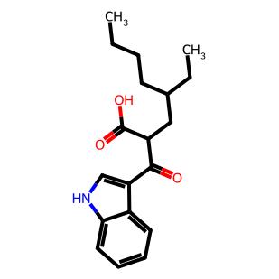 CCCCC(CC)CC(C(=O)O)C(=O)c1c[nH]c2ccccc12